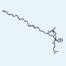 CCCCCCCCCCCCCCCCCC(COP(O)OCCN(C)C)OC(C)=O